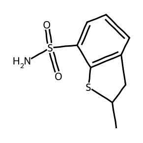 CC1Cc2cccc(S(N)(=O)=O)c2S1